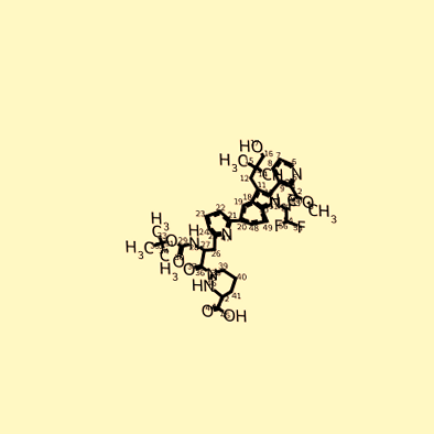 CO[C@@H](C)c1ncccc1-c1c(CC(C)(C)CO)c2cc(-c3cccc(CC(NC(=O)OC(C)(C)C)C(=O)N4CCCC(C(=O)O)N4)n3)ccc2n1C(F)C(F)F